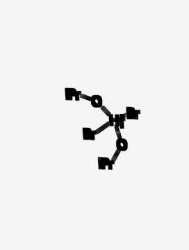 CC(C)[O][Hf]([Br])([Br])[O]C(C)C